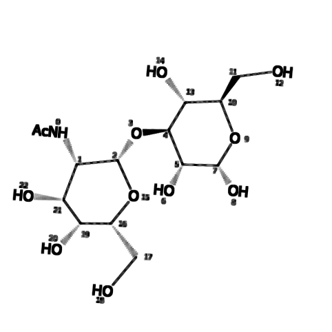 CC(=O)N[C@@H]1[C@H](O[C@@H]2[C@@H](O)[C@@H](O)O[C@H](CO)[C@H]2O)O[C@H](CO)[C@H](O)[C@@H]1O